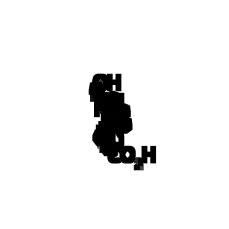 O=C(Nc1cccc(-c2cccc(Nc3nccc4cc(CN5CC[C@H](O)C5)cnc34)c2Cl)c1Cl)c1cc2n(n1)CCC[C@@H]2N1CCC(C(=O)O)CC1